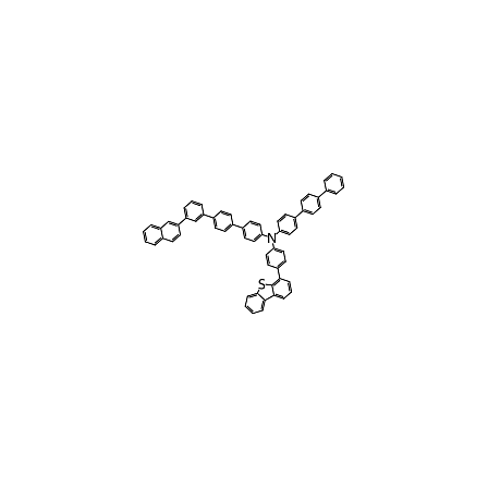 c1ccc(-c2ccc(-c3ccc(N(c4ccc(-c5ccc(-c6cccc(-c7ccc8ccccc8c7)c6)cc5)cc4)c4ccc(-c5cccc6c5sc5ccccc56)cc4)cc3)cc2)cc1